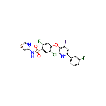 O=S(=O)(Nc1cscn1)c1cc(Cl)c(Oc2cnc(-c3cccc(F)c3)cc2I)cc1F